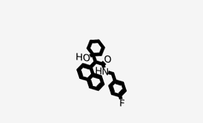 O=C(NCc1ccc(F)cc1)C(c1cccc2ccccc12)C1(O)CCCCC1